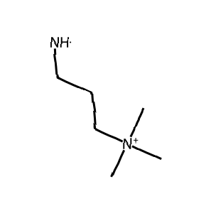 C[N+](C)(C)CCC[NH]